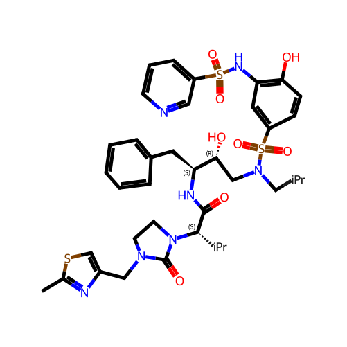 Cc1nc(CN2CCN([C@H](C(=O)N[C@@H](Cc3ccccc3)[C@H](O)CN(CC(C)C)S(=O)(=O)c3ccc(O)c(NS(=O)(=O)c4cccnc4)c3)C(C)C)C2=O)cs1